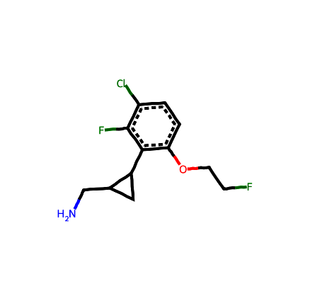 NCC1CC1c1c(OCCF)ccc(Cl)c1F